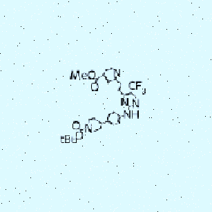 COC(=O)c1ccnc(C=Cc2nc(Nc3ccc(C4CCN(C(=O)OC(C)(C)C)CC4)cc3)ncc2C(F)(F)F)c1